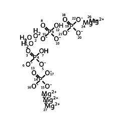 O.O.O.O=P([O-])([O-])O.O=P([O-])([O-])O.O=P([O-])([O-])[O-].O=P([O-])([O-])[O-].[Mg+2].[Mg+2].[Mg+2].[Mg+2].[Mg+2]